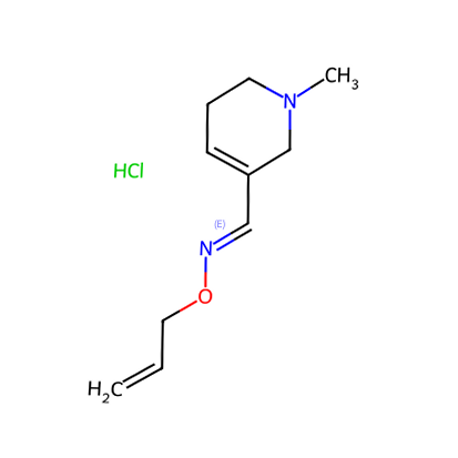 C=CCO/N=C/C1=CCCN(C)C1.Cl